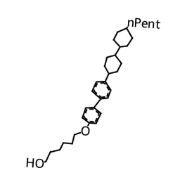 CCCCCC1CCC(C2CCC(c3ccc(-c4ccc(OCCCCCCO)cc4)cc3)CC2)CC1